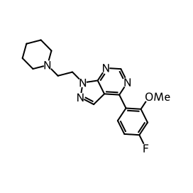 COc1cc(F)ccc1-c1ncnc2c1cnn2CCN1CCCCC1